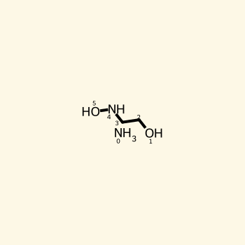 N.OCCNO